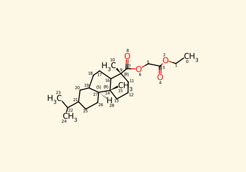 CCOC(=O)COC(=O)[C@]1(C)CCC[C@@]2(C)C1CCC1CC(C(C)C)CC[C@@H]12